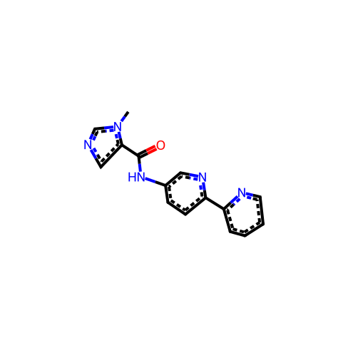 Cn1cncc1C(=O)Nc1ccc(-c2ccccn2)nc1